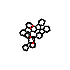 c1ccc(-c2cccc(N(c3ccc4c(c3)C3(c5ccccc5-c5ccc(N(c6ccccc6)c6ccccc6)cc53)c3ccccc3-4)c3ccccc3-c3ccccc3)c2)cc1